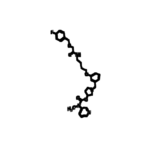 CN(C(=O)OC1CCN(Cc2cccc(OCCCCNC(=O)COCc3ccc(F)cc3)c2)C1)c1cccnc1